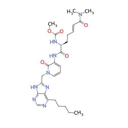 CCCCCc1ncnc2[nH]c(Cn3cccc(NC(=O)[C@H](CC/C=C/C(=O)N(C)C)NC(=O)OC)c3=O)nc12